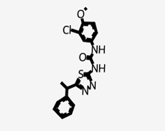 COc1ccc(NC(=O)Nc2nnc(C(C)c3ccccc3)s2)cc1Cl